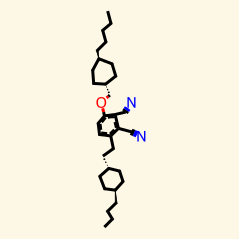 CCCCC[C@H]1CC[C@H](COc2ccc(CC[C@H]3CC[C@H](CCCC)CC3)c(C#N)c2C#N)CC1